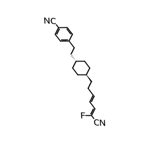 N#CC(F)=CC=CCC[C@H]1CC[C@H](CCc2ccc(C#N)cc2)CC1